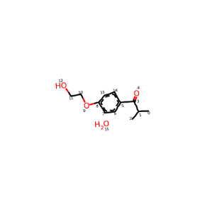 CC(C)C(=O)c1ccc(OCCO)cc1.O